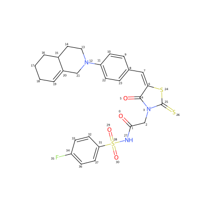 O=C(CN1C(=O)C(=Cc2ccc(N3CCC4CCCC=C4C3)cc2)SC1=S)NS(=O)(=O)c1ccc(F)cc1